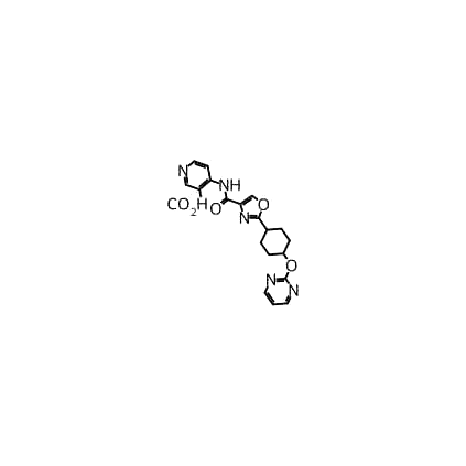 O=C(Nc1ccncc1C(=O)O)c1coc(C2CCC(Oc3ncccn3)CC2)n1